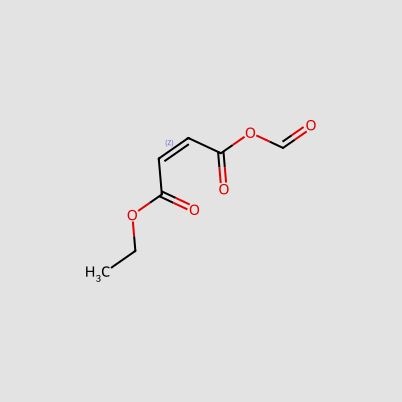 CCOC(=O)/C=C\C(=O)OC=O